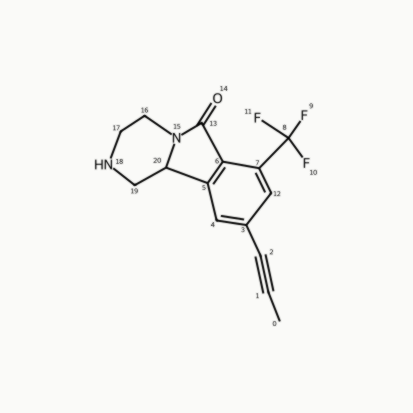 CC#Cc1cc2c(c(C(F)(F)F)c1)C(=O)N1CCNCC21